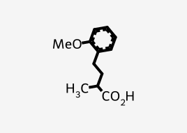 COc1ccccc1CCC(C)C(=O)O